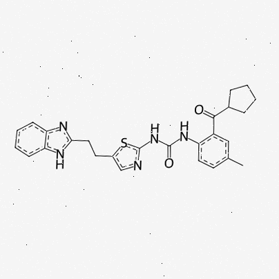 Cc1ccc(NC(=O)Nc2ncc(CCc3nc4ccccc4[nH]3)s2)c(C(=O)C2CCCC2)c1